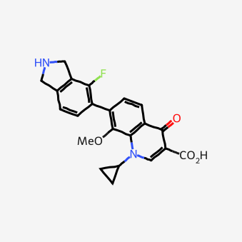 COc1c(-c2ccc3c(c2F)CNC3)ccc2c(=O)c(C(=O)O)cn(C3CC3)c12